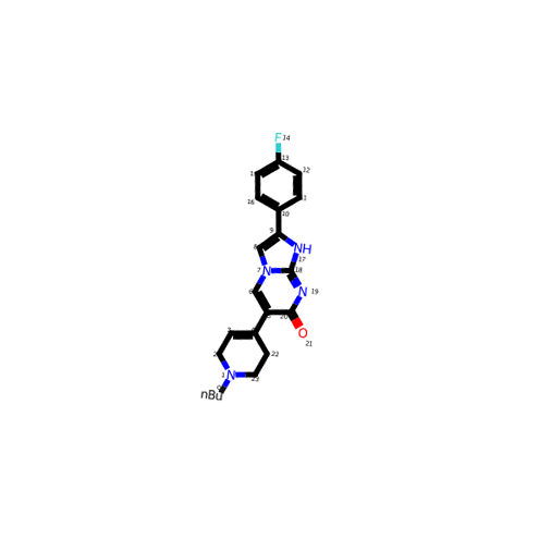 CCCCN1CC=C(c2cn3cc(-c4ccc(F)cc4)[nH]c3nc2=O)CC1